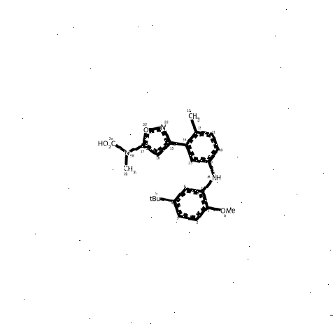 COc1ccc(C(C)(C)C)cc1Nc1ccc(C)c(-c2cc(N(C)C(=O)O)on2)c1